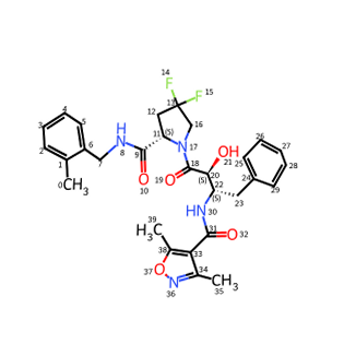 Cc1ccccc1CNC(=O)[C@@H]1CC(F)(F)CN1C(=O)[C@@H](O)[C@H](Cc1ccccc1)NC(=O)c1c(C)noc1C